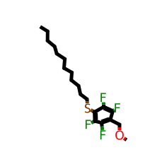 CCCCCCCCCCCCSc1c(F)c(F)c(COC)c(F)c1F